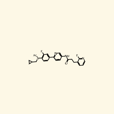 CC(=O)N(CC1CC1)c1ccc(-c2ccc(NC(=O)CCc3cccnc3F)cn2)cc1F